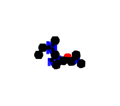 N#Cc1cc(-c2nc(-c3ccccc3)nc(-c3cccc(-c4ccccc4)c3)n2)ccc1-n1c2ccccc2c2cc3c(cc21)oc1c3ccc2c1c1ccccc1n2-c1ccccc1